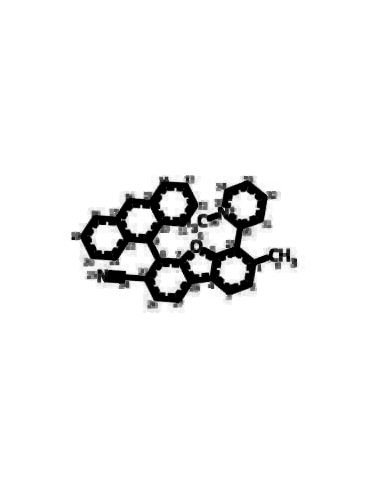 Cc1ccc2c(oc3c(-c4c5ccccc5cc5ccccc45)c(C#N)ccc32)c1-c1cccc[n+]1C